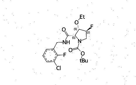 CCO[C@H]1[C@@H](C(=O)NCc2cccc(Cl)c2F)N(C(=O)OC(C)(C)C)C[C@@H]1F